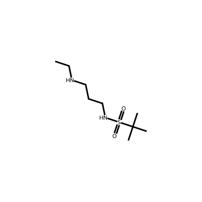 CCNCCCNS(=O)(=O)C(C)(C)C